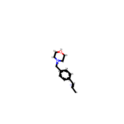 C/C=C/c1ccc(CN2CCOCC2)cc1